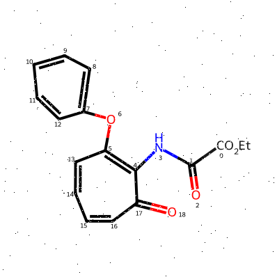 CCOC(=O)C(=O)Nc1c(Oc2ccccc2)ccccc1=O